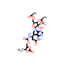 Cc1oc(=O)oc1COC(=O)NC1=CC(=O)Nc2ncnc3c2c1cn3C1OC(COC(=O)C(C)C)C(OC(=O)C(C)C)C1(C)O